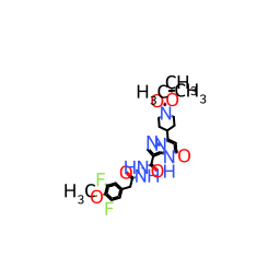 COc1c(F)cc(CC(=O)NNC(=O)c2cnn3c(C4CCN(C(=O)OC(C)(C)C)CC4)cc(=O)[nH]c23)cc1F